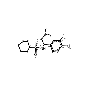 CN(C)CC(NS(=O)(=O)C1CCCCC1)c1ccc(Cl)c(Cl)c1